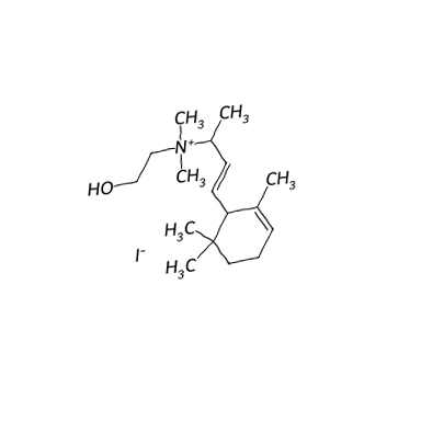 CC1=CCCC(C)(C)C1C=CC(C)[N+](C)(C)CCO.[I-]